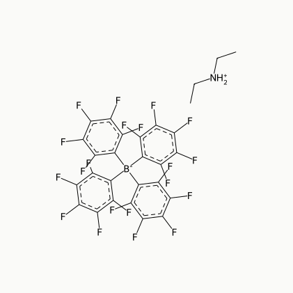 CC[NH2+]CC.Fc1c(F)c(F)c([B-](c2c(F)c(F)c(F)c(F)c2F)(c2c(F)c(F)c(F)c(F)c2F)c2c(F)c(F)c(F)c(F)c2F)c(F)c1F